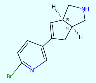 Brc1ccc(C2=C[C@H]3CNC[C@H]3C2)cn1